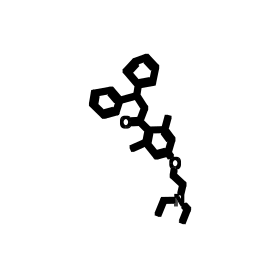 CCN(CC)CCOc1cc(C)c(C(=O)CC(c2ccccc2)c2ccccc2)c(C)c1